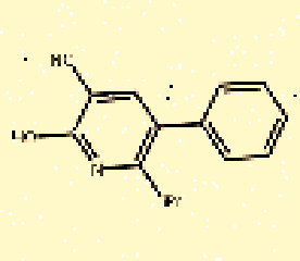 CC(C)c1nc(O)c(C#N)cc1-c1ccccc1